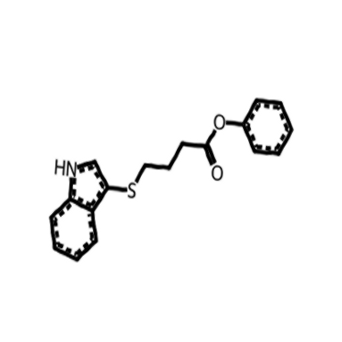 O=C(CCCSc1c[nH]c2ccccc12)Oc1ccccc1